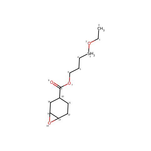 CCO[SiH2]CCCOC(=O)C1CCC2OC2C1